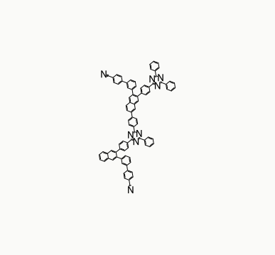 N#Cc1ccc(-c2cccc(-c3cc4ccccc4cc3-c3ccc(-c4nc(-c5ccccc5)nc(-c5ccc(-c6ccc7cc(-c8cccc(-c9ccc(C#N)cc9)c8)c(-c8ccc(-c9nc(-c%10ccccc%10)nc(-c%10ccccc%10)n9)cc8)cc7c6)cc5)n4)cc3)c2)cc1